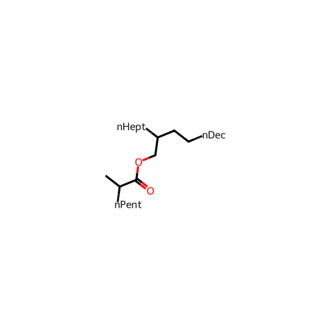 CCCCCCCCCCCCC(CCCCCCC)COC(=O)C(C)CCCCC